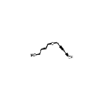 C#CC#CC=C=C/C=C/CO